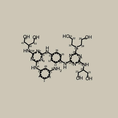 Nc1cccc(Nc2nc(Nc3ccc(Nc4nc(NC(CO)CO)nc(N(CCO)CCO)n4)cc3)nc(NC(CO)CO)n2)c1